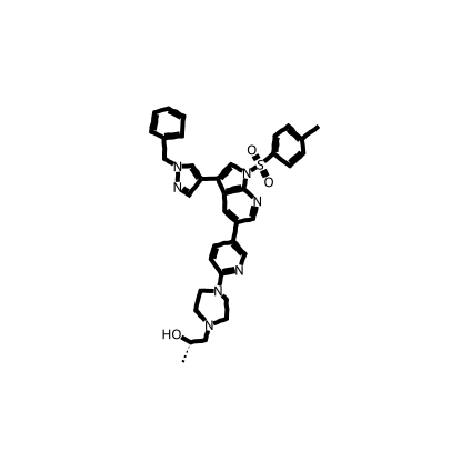 Cc1ccc(S(=O)(=O)n2cc(-c3cnn(Cc4ccccc4)c3)c3cc(-c4ccc(N5CCN(C[C@H](C)O)CC5)nc4)cnc32)cc1